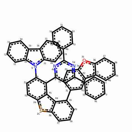 c1ccc(-c2cc(-c3c(-n4c5ccccc5c5ccccc54)ccc4sc5cccc(-c6ccc7oc8ccccc8c7c6)c5c34)nc(-c3ccccc3)n2)cc1